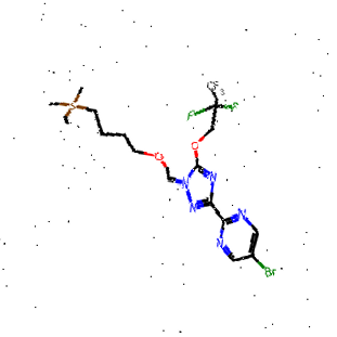 CS(C)(C)CCCCOCn1nc(-c2ncc(Br)cn2)nc1OCC(F)(F)C(F)(F)F